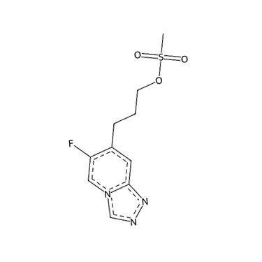 CS(=O)(=O)OCCCc1cc2nncn2cc1F